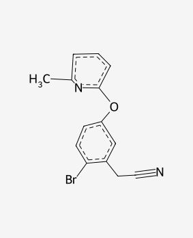 Cc1cccc(Oc2ccc(Br)c(CC#N)c2)n1